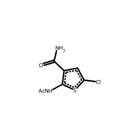 CC(=O)Nc1sc(Cl)cc1C(N)=O